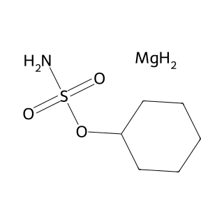 NS(=O)(=O)OC1CCCCC1.[MgH2]